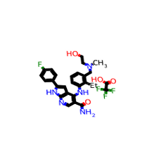 CCc1c(CN(C)CCO)cccc1Nc1c(C(N)=O)cnc2[nH]c(-c3ccc(F)cc3)cc12.O=C(O)C(F)(F)F